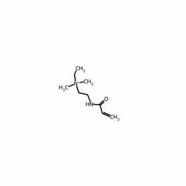 C=CC(=O)NCC[N+](C)(C)CC